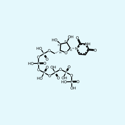 O=c1ccn([C@@H]2O[C@H](COP(=O)(O)OP(=O)(O)OP(=O)(O)OP(=O)(O)OP(=O)(O)OP(=O)(O)O)[C@@H](O)[C@H]2O)c(=O)[nH]1